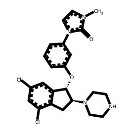 Cn1ccn(-c2cccc(O[C@H]3c4cc(Cl)cc(Cl)c4C[C@@H]3N3CCNCC3)c2)c1=O